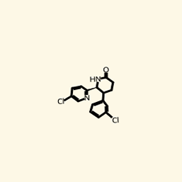 O=C1CCC(c2cccc(Cl)c2)[C@@H](c2ccc(Cl)cn2)N1